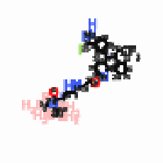 BC(B)(B)N(C(=O)/C=C/CNCCOc1ccc(/C(=C(/CC(F)(F)F)c2ccccc2)c2ccc3[nH]nc(F)c3c2)cn1)C(B)(B)B